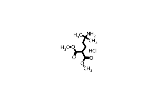 COC(=O)C(CCC(C)(C)N)C(=O)OC.Cl